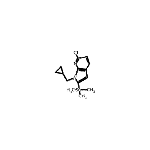 [CH3][Sn]([CH3])([CH3])[c]1cc2ccc(Cl)nc2n1CC1CC1